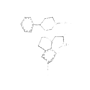 O=CN1CCC(c2ccccc2)CC1[C@@H]1CNC[C@]12CCCc1cc(Cl)ccc12